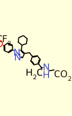 C=C(NCCC(=O)O)c1ccc(Cc2cnn(-c3ccc(OC(F)(F)F)cc3)c2C2CCCCC2)cc1